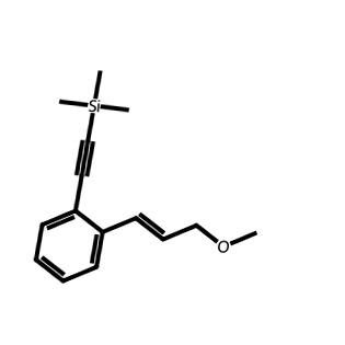 COC/C=C/c1ccccc1C#C[Si](C)(C)C